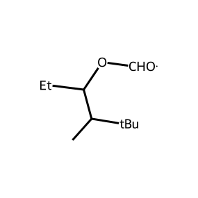 CCC(O[C]=O)C(C)C(C)(C)C